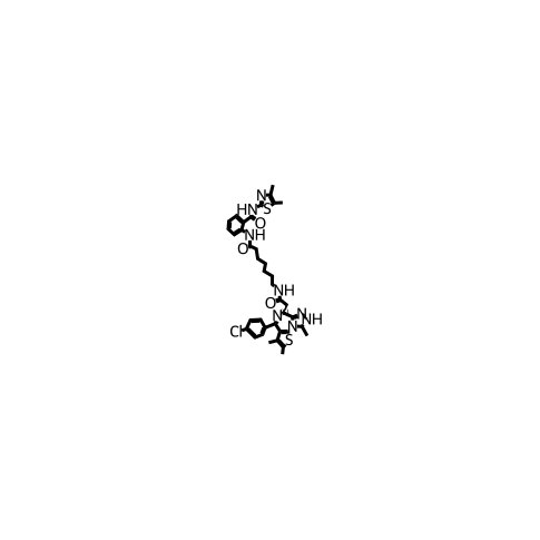 Cc1nc(NC(=O)c2ccccc2NC(=O)CCCCCCNC(=O)C[C@@H]2N=C(c3ccc(Cl)cc3)c3c(sc(C)c3C)N3C2=NNC3C)sc1C